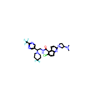 CN(C)C1CCN(c2ccc3c(C(=O)NCC(c4cnc(C(F)(F)F)nc4)N4CCC(F)(F)CC4)c(Cl)ccc3n2)C1